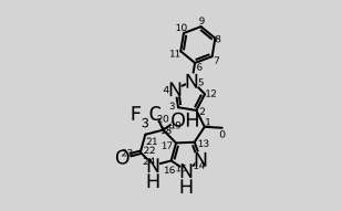 CC(c1cnn(-c2ccccc2)c1)c1n[nH]c2c1C(O)(C(F)(F)F)CC(=O)N2